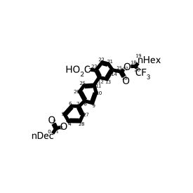 CCCCCCCCCCC(=O)Oc1ccc(-c2ccc(-c3cc(C(=O)OC(CCCCCC)C(F)(F)F)ccc3C(=O)O)cc2)cc1